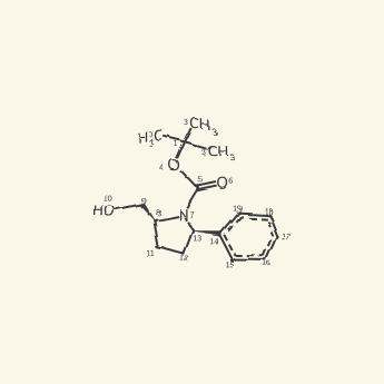 CC(C)(C)OC(=O)N1[C@H](CO)CC[C@@H]1c1ccccc1